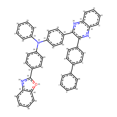 c1ccc(-c2ccc(-c3nc4ccccc4nc3-c3ccc(N(c4ccccc4)c4ccc(-c5nc6ccccc6o5)cc4)cc3)cc2)cc1